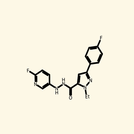 CCn1nc(-c2ccc(F)cc2)cc1C(=O)NNc1ccc(F)nc1